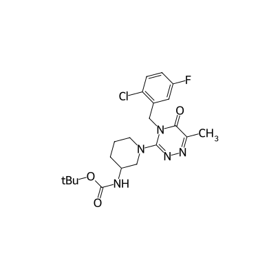 Cc1nnc(N2CCCC(NC(=O)OC(C)(C)C)C2)n(Cc2cc(F)ccc2Cl)c1=O